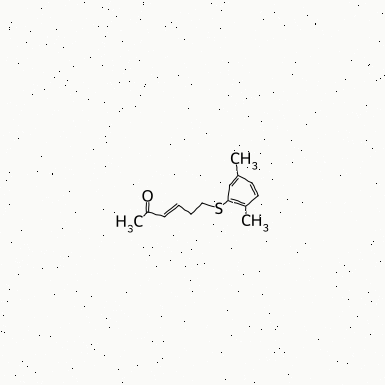 CC(=O)C=CCCSc1cc(C)ccc1C